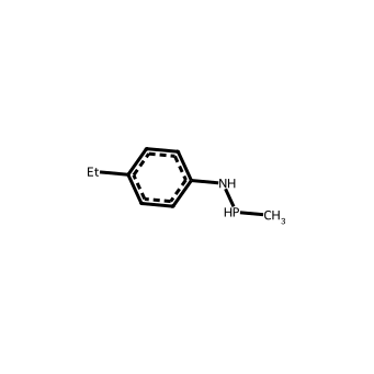 CCc1ccc(NPC)cc1